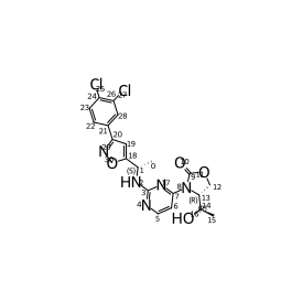 C[C@H](Nc1nccc(N2C(=O)OC[C@@H]2[C@@H](C)O)n1)c1cc(-c2ccc(Cl)c(Cl)c2)no1